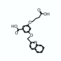 O=C(O)CCCOc1cc(OCc2ccc3ccccc3n2)cc(C(=O)O)c1